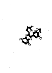 Cc1ccn(-c2nc3[nH]ccc(=O)c3nc2-c2cc(Cl)c3ncoc3c2)n1